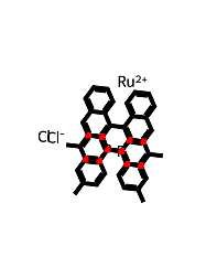 Cc1ccc(P(c2ccc(C)cc2)c2ccc3ccccc3c2-c2c(P(c3ccc(C)cc3)c3ccc(C)cc3)ccc3ccccc23)cc1.[Cl-].[Cl-].[Ru+2]